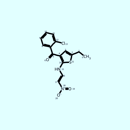 CCc1cc(C(=O)c2ccccc2Cl)c(N/C=C/[N+](=O)[O-])s1